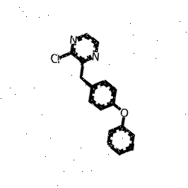 Clc1nccnc1Cc1ccc(Oc2ccccc2)cc1